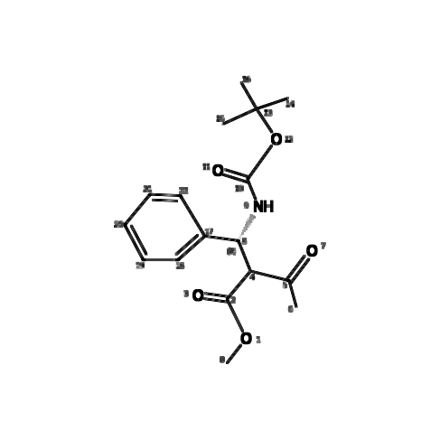 COC(=O)C(C(C)=O)[C@@H](NC(=O)OC(C)(C)C)c1ccccc1